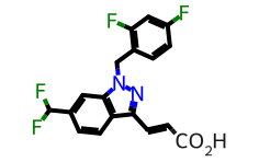 O=C(O)/C=C/c1nn(Cc2ccc(F)cc2F)c2cc(C(F)F)ccc12